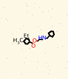 CCc1cc(C(=O)OCCCNCc2ccccc2)ccc1C